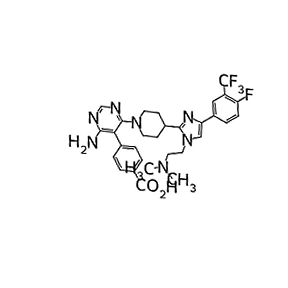 CN(C)CCn1cc(-c2ccc(F)c(C(F)(F)F)c2)nc1C1CCN(c2ncnc(N)c2-c2ccc(C(=O)O)cc2)CC1